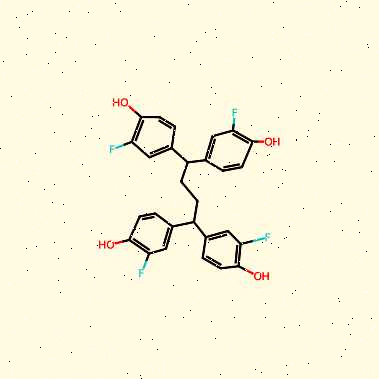 Oc1ccc(C(CCC(c2ccc(O)c(F)c2)c2ccc(O)c(F)c2)c2ccc(O)c(F)c2)cc1F